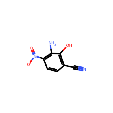 N#Cc1ccc([N+](=O)[O-])c(N)c1O